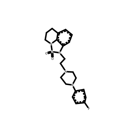 O=S1(=O)N(CCN2CCN(c3ccc(F)cc3)CC2)c2cccc3c2N1CCC3